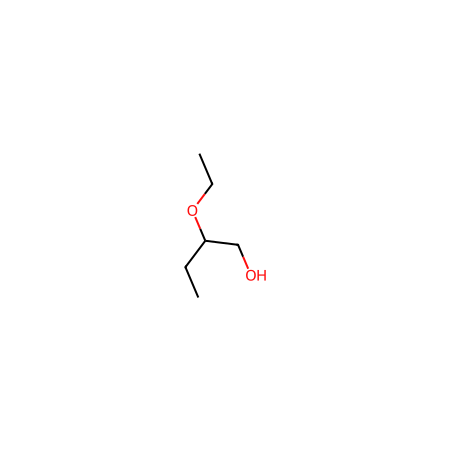 CCOC(CC)CO